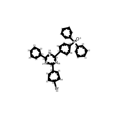 O=P(c1ccccc1)(c1ccccc1)c1ccc(-c2nc(-c3ccccc3)nc(-c3ccc(Br)cc3)n2)cc1